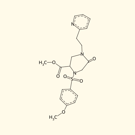 COC(=O)C1CN(CCc2ccccn2)C(=O)CN1S(=O)(=O)c1ccc(OC)cc1